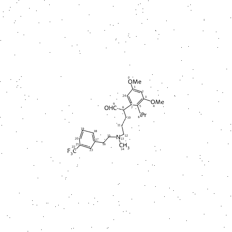 COc1cc(OC)c(C(C)C)c(C(C=O)CCCN(C)CCc2cccc(C(F)(F)F)c2)c1